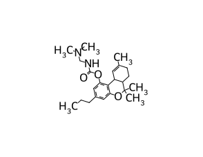 CCCc1cc(OC(=O)NCN(C)C)c2c(c1)OC(C)(C)C1CCC(C)=CC21